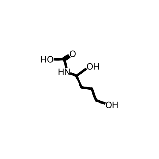 O=C(O)NC(O)CCCO